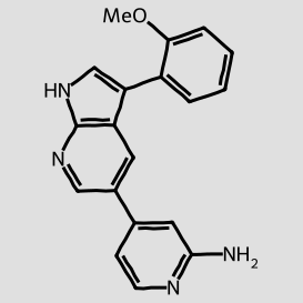 COc1ccccc1-c1c[nH]c2ncc(-c3ccnc(N)c3)cc12